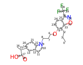 CCCc1c(OCCCn2ccc3cc(C(C)C(=O)O)ccc32)ccc2c(C(F)(F)F)noc12